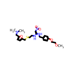 COCCOc1ccc(CN/C(=C\[N+](=O)[O-])NCCSCc2ccc(CN(C)C)o2)cc1